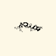 CC(C)CS(=O)(=O)N1CCCC(NC(=O)Nc2cnc3[nH]ccc3n2)C1